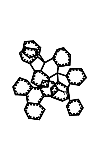 c1ccc(N(c2ccc3c4ccccc4c4ccccc4c3c2)c2ccccc2C2(c3ccccc3)c3ccccc3C3(c4ccccc4)c4ccccc4-c4cccc2c43)cc1